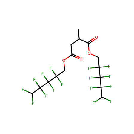 CC(CC(=O)OCC(F)(F)C(F)(F)C(F)(F)C(F)F)C(=O)OCC(F)(F)C(F)(F)C(F)(F)C(F)F